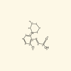 CC1CCCN(c2cccc(Cl)c2C=CC(=O)O)C1